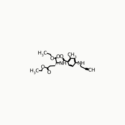 C#CCNc1ccc(C(=O)N[C@H](CCC(=O)OCC)C(=O)OCC)c(C)c1